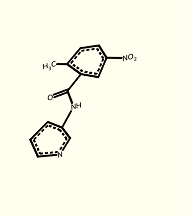 Cc1ccc([N+](=O)[O-])cc1C(=O)Nc1cccnc1